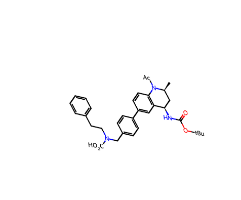 CC(=O)N1c2ccc(-c3ccc(CN(CCc4ccccc4)C(=O)O)cc3)cc2[C@H](NC(=O)OC(C)(C)C)C[C@@H]1C